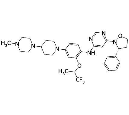 CC(Oc1cc(N2CCC(N3CCN(C)CC3)CC2)ccc1Nc1cc(N2OCC[C@@H]2c2ccccc2)ncn1)C(F)(F)F